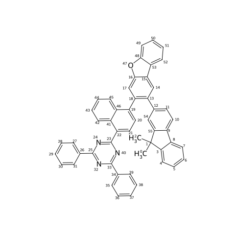 CC1(C)c2ccccc2-c2ccc(-c3cc4c(cc3-c3ccc(-c5nc(-c6ccccc6)nc(-c6ccccc6)n5)c5ccccc35)oc3ccccc34)cc21